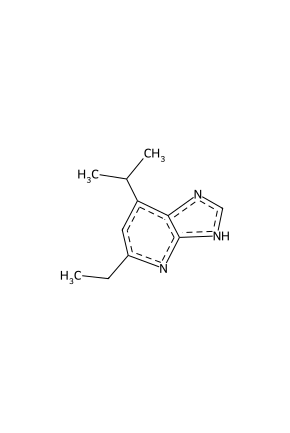 CCc1cc(C(C)C)c2nc[nH]c2n1